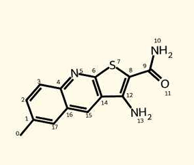 Cc1ccc2nc3sc(C(N)=O)c(N)c3cc2c1